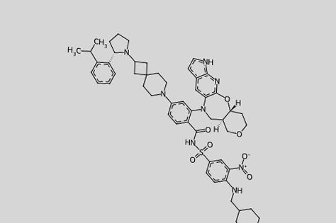 CC(C)c1ccccc1[C@@H]1CCCN1C1CC2(CCN(c3ccc(C(=O)NS(=O)(=O)c4ccc(NCC5CCOCC5)c([N+](=O)[O-])c4)c(N4C[C@@H]5COCC[C@H]5Oc5nc6[nH]ccc6cc54)c3)CC2)C1